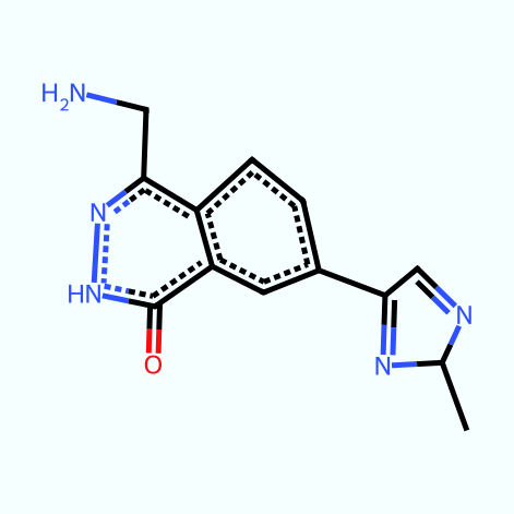 CC1N=CC(c2ccc3c(CN)n[nH]c(=O)c3c2)=N1